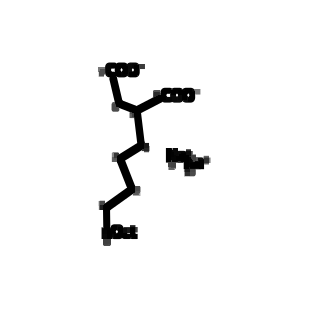 CCCCCCCCCCCCC(CC(=O)[O-])C(=O)[O-].[Na+].[Na+]